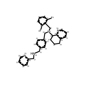 Fc1cccc(F)c1CN(Cc1ccc(CNCc2ccccn2)cc1)C1CCCc2cccnc21